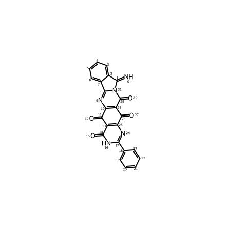 N=c1c2ccccc2c2nc3c(=O)c4c(=O)[nH]c(-c5ccccc5)nc4c(=O)c3c(=O)n12